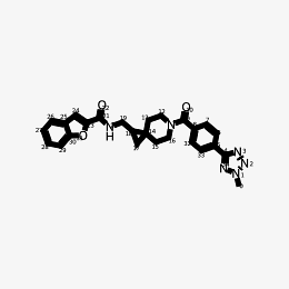 Cn1nnc(-c2ccc(C(=O)N3CCC4(CC3)CC4CNC(=O)c3cc4ccccc4o3)cc2)n1